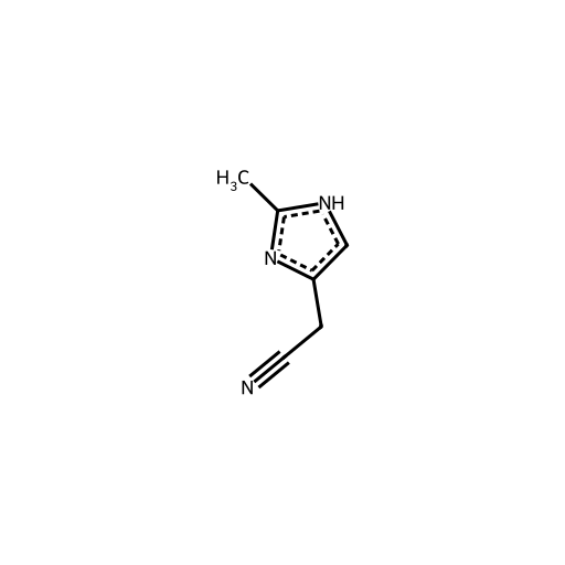 Cc1nc(CC#N)c[nH]1